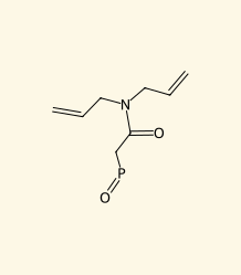 C=CCN(CC=C)C(=O)CP=O